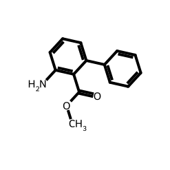 COC(=O)c1c(N)cccc1-c1ccccc1